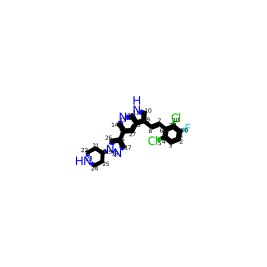 Fc1ccc(Cl)c(C=Cc2c[nH]c3ncc(-c4cnn(C5CCNCC5)c4)cc23)c1Cl